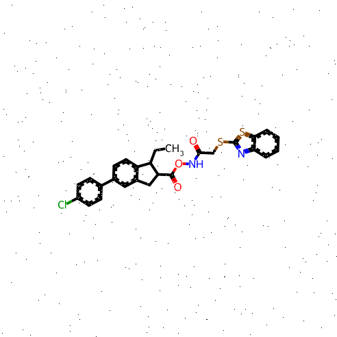 CCC1c2ccc(-c3ccc(Cl)cc3)cc2CC1C(=O)ONC(=O)CSc1nc2ccccc2s1